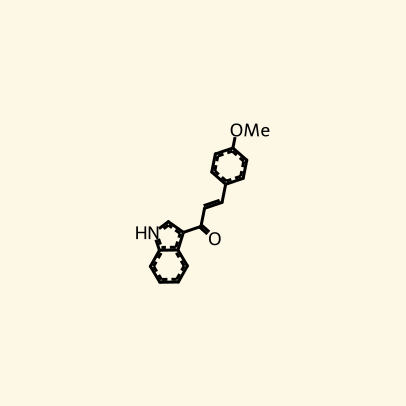 COc1ccc(/C=C/C(=O)c2c[nH]c3ccccc23)cc1